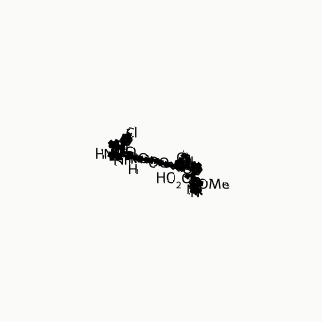 COc1cc([C@@H](CC(=O)O)c2ccc(C)c(CN3C[C@@H](C)Oc4cc(CCCOCCOCCOCCNC(=O)C[C@@H]5N=C(c6ccc(Cl)cc6)c6c(sc(C)c6C)N(C(C)=N)C5=N)ccc4S3(=O)=O)c2)cc2nnn(C)c12